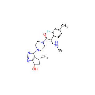 Cc1ccc([C@@H](CNC(C)C)C(=O)N2CCN(c3ncnc4c3[C@H](C)C[C@H]4O)CC2)c(F)c1